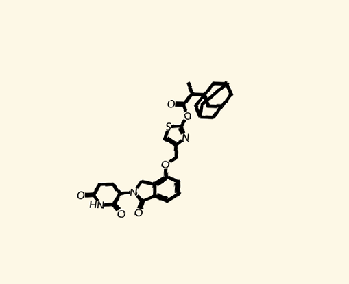 CC(C(=O)Oc1nc(COc2cccc3c2CN(C2CCC(=O)NC2=O)C3=O)cs1)C12CC3CC(CC(C3)C1)C2